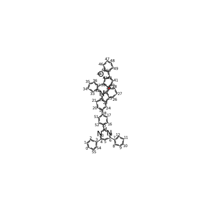 c1ccc(-c2cc(-c3ccccc3)nc(-c3ccc(-c4ccc5c(c4)c4ccccc4n5-c4ccccc4-c4cccc5c4oc4ccccc45)cc3)n2)cc1